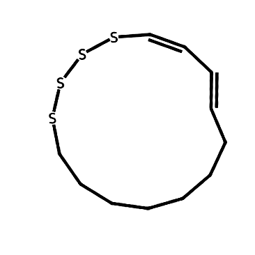 C1=C\SSSSCCCCCCC/C=C/1